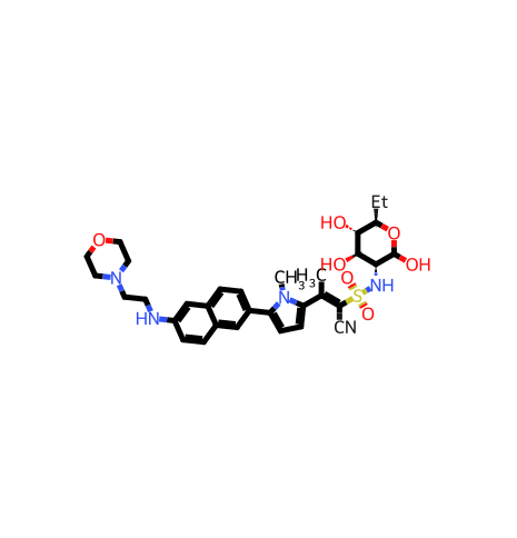 CC[C@H]1OC(O)[C@H](NS(=O)(=O)/C(C#N)=C(\C)c2ccc(-c3ccc4cc(NCCN5CCOCC5)ccc4c3)n2C)[C@@H](O)[C@@H]1O